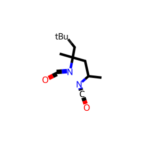 CC(CC(C)(CC(C)(C)C)N=C=O)N=C=O